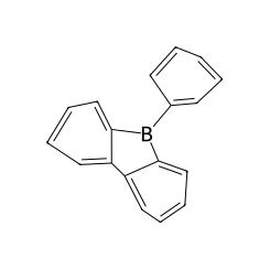 c1ccc(B2c3ccccc3-c3ccccc32)cc1